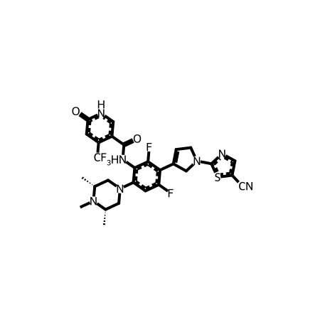 C[C@@H]1CN(c2cc(F)c(C3=CCN(c4ncc(C#N)s4)C3)c(F)c2NC(=O)c2c[nH]c(=O)cc2C(F)(F)F)C[C@H](C)N1C